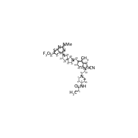 C=CC(=O)NC1CCN(CCn2c(C#N)cc3c(C)c(CN4CCC5(CCN(c6nc(NC)nc7sc(CC(F)(F)F)cc67)C5)C4)ccc32)CC1